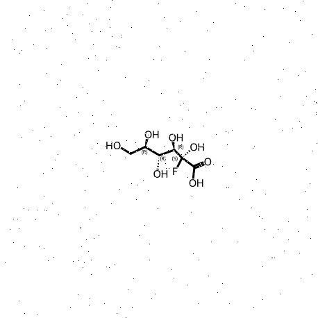 O=C(O)[C@@](O)(F)[C@H](O)[C@H](O)[C@H](O)CO